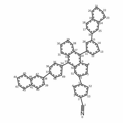 N#Cc1ccc(-c2ccc3c(-c4cccc(-c5ccc6ccccc6c5)c4)c4ccccc4c(-c4ccc(-c5ccc6ccccc6c5)cc4)c3c2)cc1